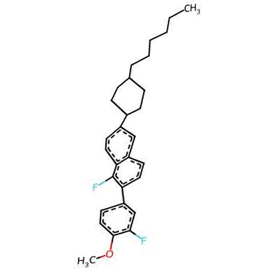 CCCCCCC1CCC(c2ccc3c(F)c(-c4ccc(OC)c(F)c4)ccc3c2)CC1